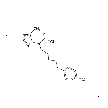 Cn1ccnc1C(CCCCCc1ccc(Cl)cc1)C(=O)O